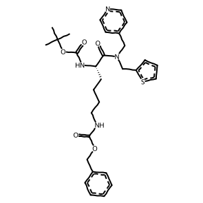 CC(C)(C)OC(=O)N[C@@H](CCCCNC(=O)OCc1ccccc1)C(=O)N(Cc1ccncc1)Cc1cccs1